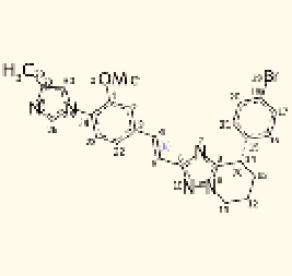 COc1cc(/C=C/c2nc3n(n2)CCC[C@H]3c2ccc(Br)cc2)ccc1-n1cnc(C)c1